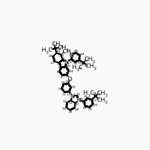 C[C@@H]1c2c(c3ccc(Oc4cccc(N5C=[N+](c6cccc(C(C)(C)C)c6)C6C=CC=CC65)c4)cc3n2-c2cc(C(C)(C)C)ccn2)C=CC1C(C)(C)C